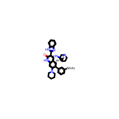 CC(=O)Nc1cccc(-c2cc3c(N[C@H]4CN5CCC4CC5)c(-c4nc5ccccc5[nH]4)c(=O)[nH]c3cc2N2CCCCC2)c1